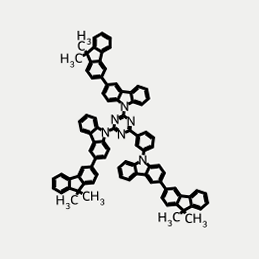 CC1(C)c2ccccc2-c2cc(-c3ccc4c(c3)c3ccccc3n4-c3cccc(-c4nc(-n5c6ccccc6c6cc(-c7ccc8c(c7)-c7ccccc7C8(C)C)ccc65)nc(-n5c6ccccc6c6cc(-c7ccc8c(c7)-c7ccccc7C8(C)C)ccc65)n4)c3)ccc21